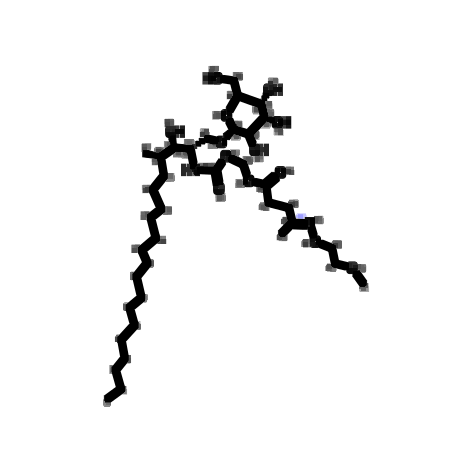 CCCCCCCCCCCCCCCC[C@@H](C)[C@@H](O)[C@H](CO[C@H]1OC(CO)[C@H](O)[C@H](O)C1O)NC(=O)OCOC(=O)CC/C(C)=N/OCCOC